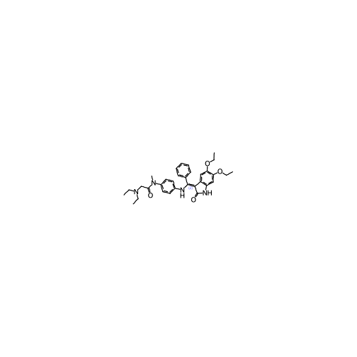 CCOc1cc2c(cc1OCC)/C(=C(/Nc1ccc(N(C)C(=O)CN(CC)CC)cc1)c1ccccc1)C(=O)N2